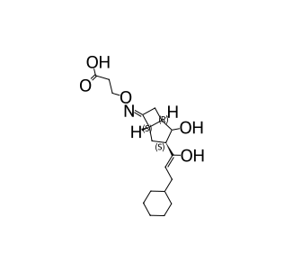 O=C(O)CCON=C1C[C@H]2C(O)[C@@H](C(O)=CCC3CCCCC3)C[C@H]12